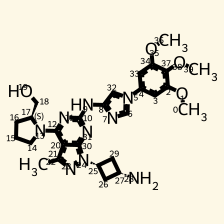 COc1cc(-n2cnc(Nc3nc(N4CCC[C@H]4CO)c4c(C)nn([C@H]5C[C@@H](N)C5)c4n3)c2)cc(OC)c1OC